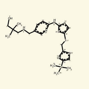 CC(C)(CO)CNCc1ccc(Nc2ncc(SCc3ncc([Si](C)(C)C)o3)s2)nc1